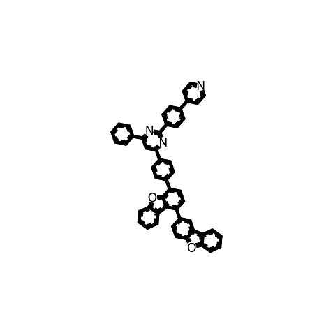 c1ccc(-c2cc(-c3ccc(-c4ccc(-c5ccc6oc7ccccc7c6c5)c5c4oc4ccccc45)cc3)nc(-c3ccc(-c4ccncc4)cc3)n2)cc1